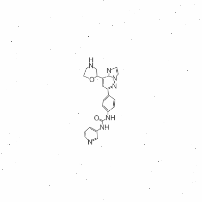 O=C(Nc1ccc(-c2cc(C3CNCCO3)c3nccn3n2)cc1)Nc1cccnc1